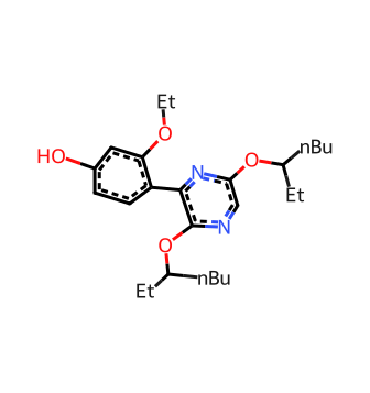 CCCCC(CC)Oc1cnc(OC(CC)CCCC)c(-c2ccc(O)cc2OCC)n1